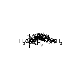 CCOC[C@@]1(O)CC[C@H]2[C@H](CC[C@@H]3[C@@H]2CC[C@]2(C)[C@@H]([C@@H](C)Nc4ccc(NC)cc4C)CC[C@@H]32)C1